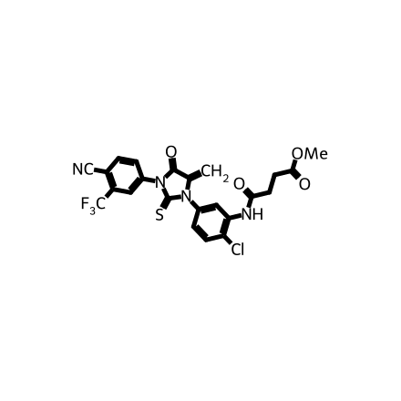 C=C1C(=O)N(c2ccc(C#N)c(C(F)(F)F)c2)C(=S)N1c1ccc(Cl)c(NC(=O)CCC(=O)OC)c1